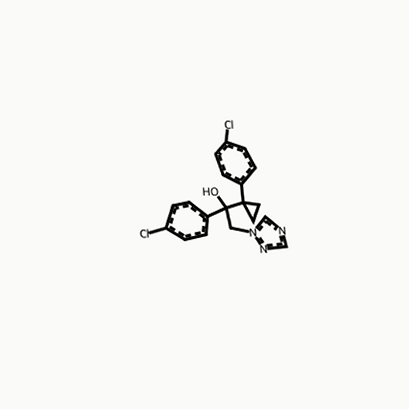 OC(Cn1cncn1)(c1ccc(Cl)cc1)C1(c2ccc(Cl)cc2)CC1